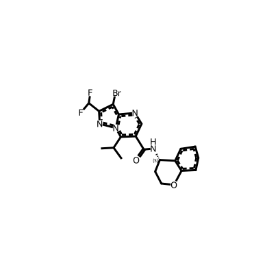 CC(C)c1c(C(=O)N[C@H]2CCOc3ccccc32)cnc2c(Br)c(C(F)F)nn12